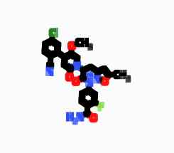 COc1cn(C(Cc2cc(C)on2)C(=O)Nc2ccc(C(N)=O)c(F)c2)c(=O)cc1-c1cc(Cl)ccc1C#N